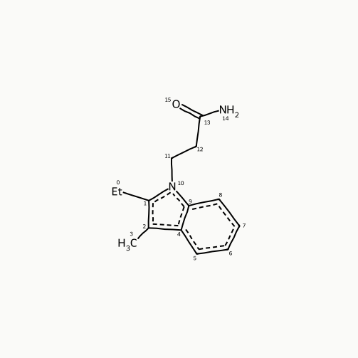 CCc1c(C)c2ccccc2n1CCC(N)=O